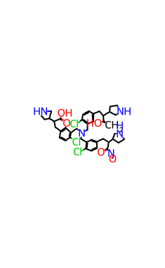 C=C(O)C(Cc1ccc(Cl)c(CN(Cc2cc(CC(C(=O)O)C3CCNC3)ccc2Cl)Cc2cc(CC(C(=O)N=O)C3CCNC3)ccc2Cl)c1)C1CCNC1